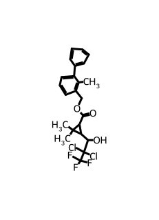 Cc1c(COC(=O)C2C(C(O)C(Cl)(Cl)C(F)(F)F)C2(C)C)cccc1-c1ccccc1